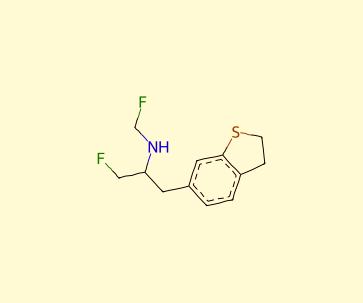 FCNC(CF)Cc1ccc2c(c1)SCC2